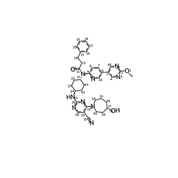 COc1ncc(-c2ccc(N(C(=O)CCc3ccccc3)[C@H]3CC[C@H](Nc4ncc(C#N)c(N5CCCC(O)CC5)n4)CC3)nc2)cn1